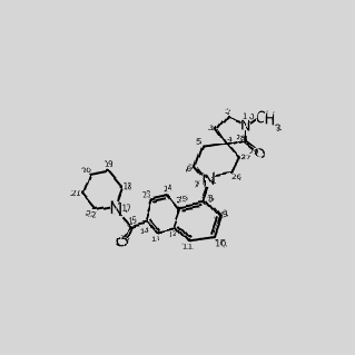 CN1CCC2(CCN(c3cccc4cc(C(=O)N5CCCCC5)ccc34)CC2)C1=O